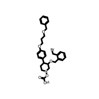 O=C(O)ON1CCC(c2ccc(OCCCOCc3ccccc3)cc2)C(OCc2ccccc2CBr)C1